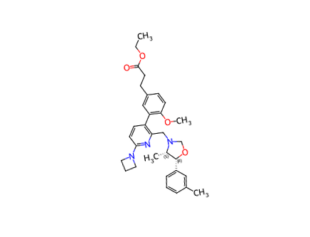 CCOC(=O)CCc1ccc(OC)c(-c2ccc(N3CCC3)nc2CN2CO[C@H](c3cccc(C)c3)[C@@H]2C)c1